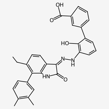 CCc1ccc2c(c1-c1ccc(C)c(C)c1)NC(=O)C2=NNc1cccc(-c2cccc(C(=O)O)c2)c1O